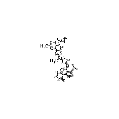 CC(C)Oc1cc(C(=O)N=O)cc2sc(N(C)C3CCC(OCc4c(-c5c(Cl)cccc5Cl)noc4C4CC4)C3)nc12